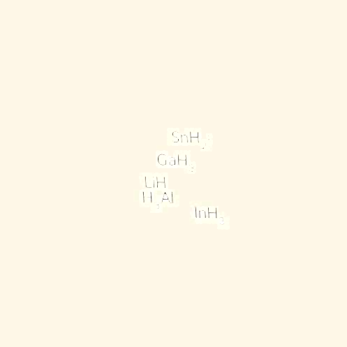 [AlH3].[GaH3].[InH3].[LiH].[SnH2]